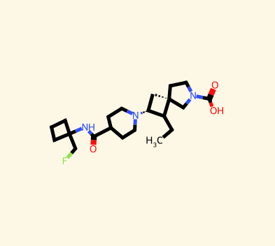 CCC1[C@H](N2CCC(C(=O)NC3(CF)CCC3)CC2)C[C@@]12CCN(C(=O)O)C2